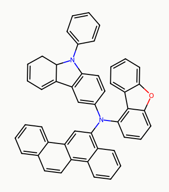 C1=CCC2C(=C1)c1cc(N(c3cc4c5ccccc5ccc4c4ccccc34)c3cccc4oc5ccccc5c34)ccc1N2c1ccccc1